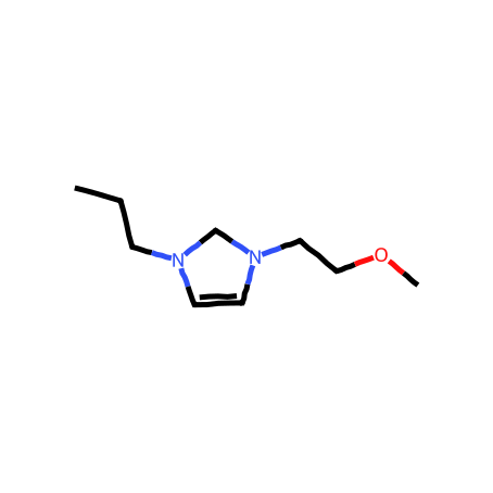 CCCN1C=CN(CCOC)C1